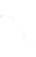 COCOCCC=CC=O